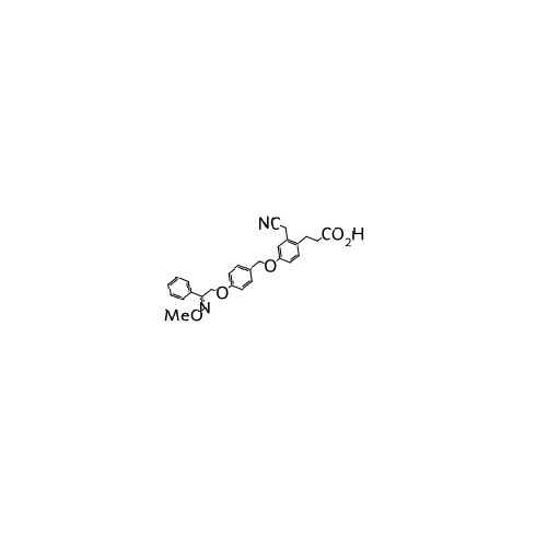 CON=C(COc1ccc(COc2ccc(CCC(=O)O)c(CC#N)c2)cc1)c1ccccc1